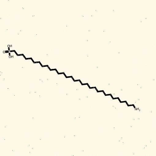 NCCCCCCCCCCCCCCCCCCCCCCCCCCCCCCCP(=O)(O)O